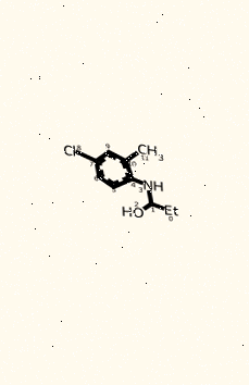 CCC(O)Nc1ccc(Cl)cc1C